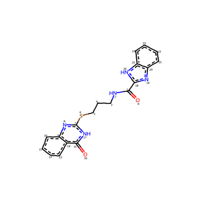 O=C(NCCCSc1nc2ccccc2c(=O)[nH]1)c1nc2ccccc2[nH]1